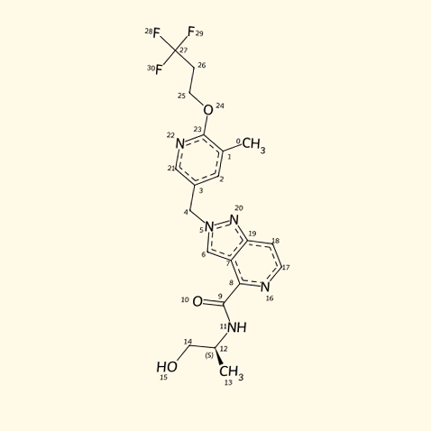 Cc1cc(Cn2cc3c(C(=O)N[C@@H](C)CO)nccc3n2)cnc1OCCC(F)(F)F